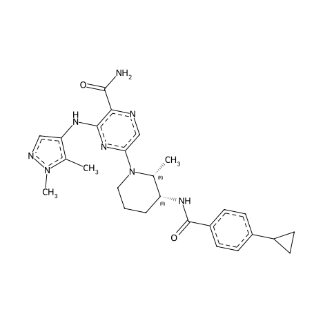 Cc1c(Nc2nc(N3CCC[C@@H](NC(=O)c4ccc(C5CC5)cc4)[C@H]3C)cnc2C(N)=O)cnn1C